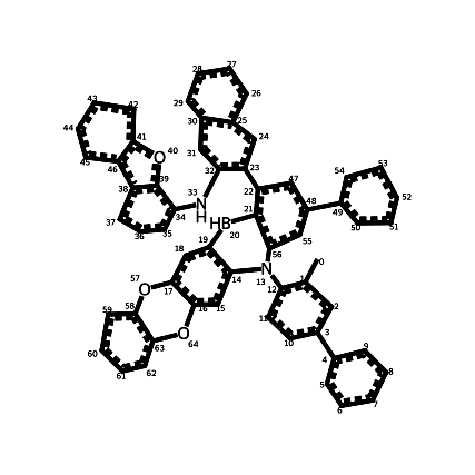 Cc1cc(-c2ccccc2)ccc1N1c2cc3c(cc2Bc2c(-c4cc5ccccc5cc4Nc4cccc5c4oc4ccccc45)cc(-c4ccccc4)cc21)Oc1ccccc1O3